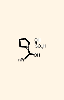 CCCC(O)N1CCCC1.O=S(=O)(O)O